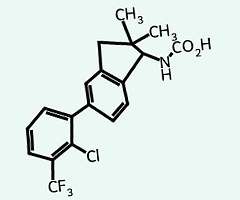 CC1(C)Cc2cc(-c3cccc(C(F)(F)F)c3Cl)ccc2C1NC(=O)O